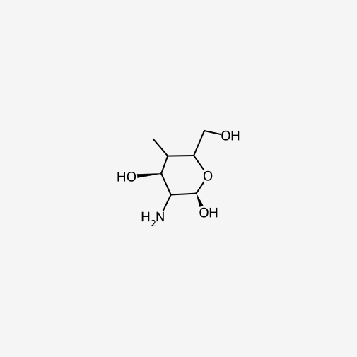 CC1C(CO)O[C@@H](O)C(N)[C@H]1O